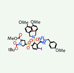 COC(=O)[C@@H]1C[C@@H](S(=O)(=O)c2ccc(I)c(-c3nnn(Cc4ccc(OC)cc4)n3)c2S(=O)(=O)N(Cc2ccc(OC)cc2)Cc2ccc(OC)cc2)CN1C(=O)OC(C)(C)C